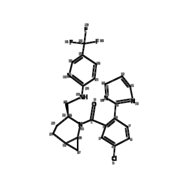 O=C(c1cc(Cl)ccc1-c1ncccn1)N1C2CC2CC[C@H]1CNc1ccc(C(F)(F)F)cn1